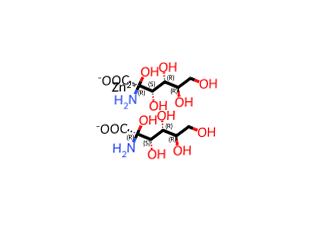 N[C@](O)(C(=O)[O-])[C@@H](O)[C@H](O)[C@H](O)CO.N[C@](O)(C(=O)[O-])[C@@H](O)[C@H](O)[C@H](O)CO.[Zn+2]